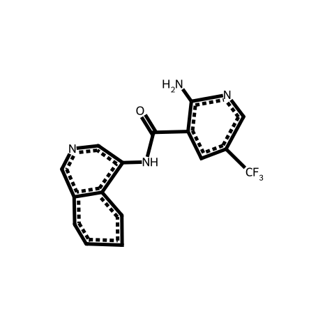 Nc1ncc(C(F)(F)F)cc1C(=O)Nc1cncc2ccccc12